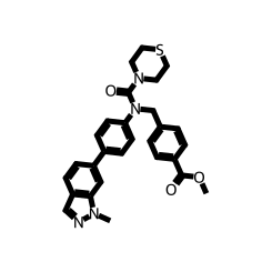 COC(=O)c1ccc(CN(C(=O)N2CCSCC2)c2ccc(-c3ccc4cnn(C)c4c3)cc2)cc1